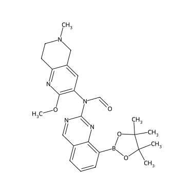 COc1nc2c(cc1N(C=O)c1ncc3cccc(B4OC(C)(C)C(C)(C)O4)c3n1)CN(C)CC2